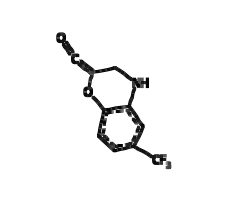 O=C=C1CNc2cc(C(F)(F)F)ccc2O1